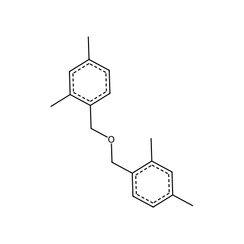 Cc1ccc(COCc2ccc(C)cc2C)c(C)c1